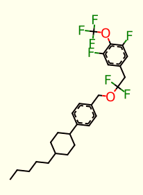 CCCCCC1CCC(c2ccc(COC(F)(F)Cc3cc(F)c(OC(F)(F)F)c(F)c3)cc2)CC1